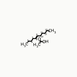 CC(=O)O.CCCCC=CCCCCC